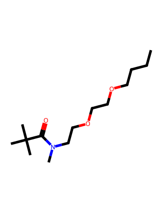 CCCCOCCOCCN(C)C(=O)C(C)(C)C